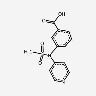 CS(=O)(=O)N(c1ccncc1)c1cccc(C(=O)O)c1